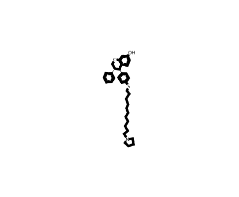 Oc1ccc2c(c1)OC[C@@H](c1ccccc1)[C@H]2c1ccc(SCCCCCCCCCCCN2CCCC2)cc1